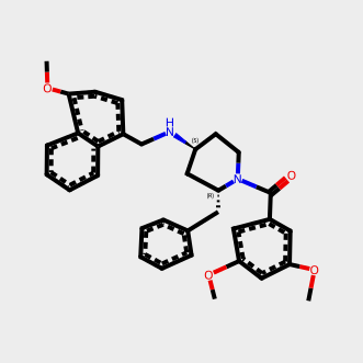 COc1cc(OC)cc(C(=O)N2CC[C@H](NCc3ccc(OC)c4ccccc34)C[C@H]2Cc2ccccc2)c1